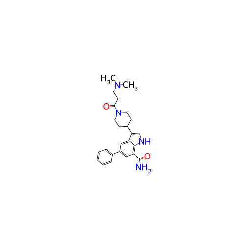 CN(C)CCC(=O)N1CCC(c2c[nH]c3c(C(N)=O)cc(-c4ccccc4)cc23)CC1